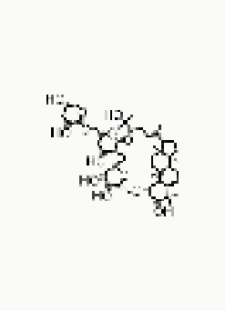 C[C@H](CC[C@@H](O[C@@H]1O[C@H](CO[C@@H]2OC[C@@H](O)C[C@H]2O)C[C@H](O)[C@H]1O[C@H]1C[C@@H](O)[C@H](O)[C@@H](CO)O1)C(C)(C)O)C1CC[C@@]2(C)C3CC=C4C(CC[C@H](O)C4(C)C)[C@]3(C)CC[C@]12C